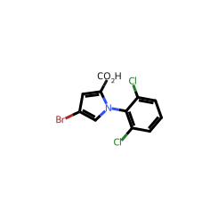 O=C(O)c1cc(Br)cn1-c1c(Cl)cccc1Cl